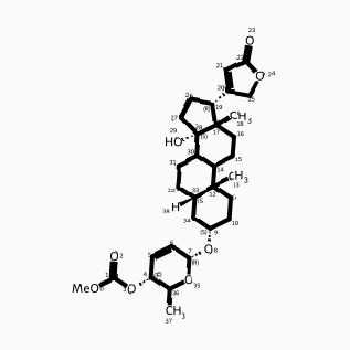 COC(=O)O[C@@H]1C=C[C@H](O[C@H]2CCC3(C)C4CCC5(C)[C@@H](C6=CC(=O)OC6)CC[C@]5(O)C4CC[C@H]3C2)OC1C